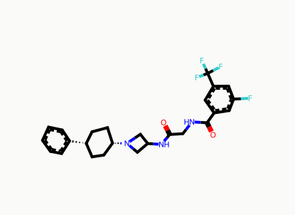 O=C(CNC(=O)c1cc(F)cc(C(F)(F)F)c1)NC1CN([C@H]2CC[C@@H](c3ccccc3)CC2)C1